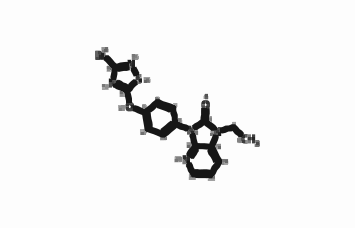 CCn1c(=O)n(-c2ccc(Oc3nc(Br)ns3)cc2)c2ncccc21